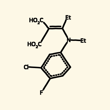 CCC(=C(C(=O)O)C(=O)O)N(CC)c1ccc(F)c(Cl)c1